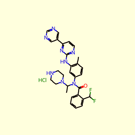 Cc1ccc(N(C(=O)c2ccccc2C(F)F)C(C)N2CCNCC2)cc1Nc1nccc(-c2cncnc2)n1.Cl